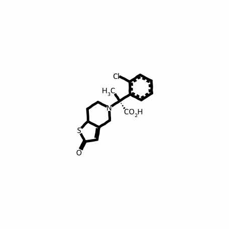 C[C@@](C(=O)O)(c1ccccc1Cl)N1CCC2SC(=O)C=C2C1